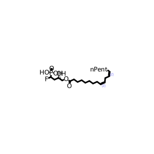 CCCCC/C=C\C/C=C\CCCCCCCC(=O)OC[C@@H](O)CC(F)P(=O)(O)O